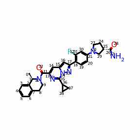 C[C@@H]1c2ccccc2CCN1C(=O)c1cc2cc(-c3ccc(N4CC[C@H](C(N)=O)C4)cc3F)nn2c(C2CC2)n1